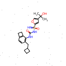 CC(C)(O)c1coc([S@](=N)(=O)NC(=O)Nc2c(CC3CCC3)ccc3c2CC3)c1